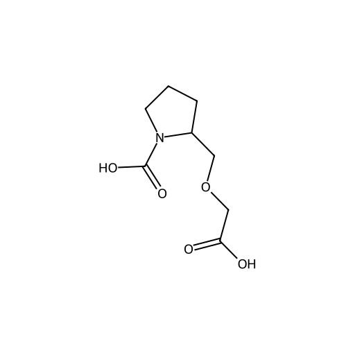 O=C(O)COCC1CCCN1C(=O)O